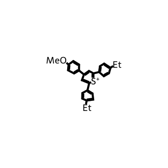 CCc1ccc(-c2cc(-c3ccc(OC)cc3)cc(-c3ccc(CC)cc3)[s+]2)cc1